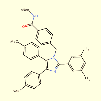 CCCCCCCCCNC(=O)c1ccc(Cn2c(-c3cc(C(F)(F)F)cc(C(F)(F)F)c3)nc(-c3ccc(OC)cc3)c2-c2ccc(OC)cc2)cc1